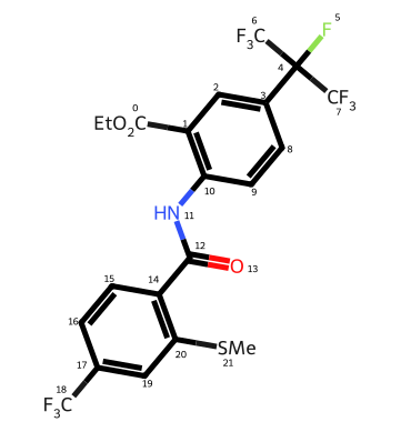 CCOC(=O)c1cc(C(F)(C(F)(F)F)C(F)(F)F)ccc1NC(=O)c1ccc(C(F)(F)F)cc1SC